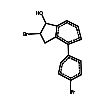 CC(C)c1ccc(-c2cccc3c2CC(Br)C3O)cc1